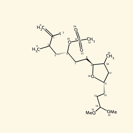 C=C(I)C(C)C[C@@H](CC[C@@H]1O[C@@H](CCC(OC)OC)CC1C)OS(C)(=O)=O